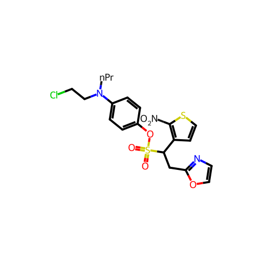 CCCN(CCCl)c1ccc(OS(=O)(=O)C(Cc2ncco2)c2ccsc2[N+](=O)[O-])cc1